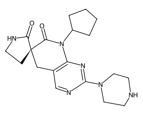 O=C1NCC[C@@]12Cc1cnc(N3CCNCC3)nc1N(C1CCCC1)C2=O